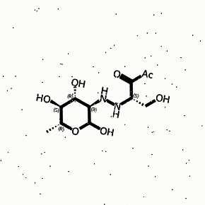 CC(=O)C(=O)[C@H](CO)NN[C@H]1C(O)O[C@H](C)[C@@H](O)[C@@H]1O